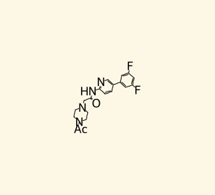 CC(=O)N1CCN(CC(=O)Nc2ccc(-c3cc(F)cc(F)c3)cn2)CC1